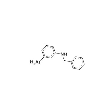 [AsH2]c1c[c]cc(NCc2ccccc2)c1